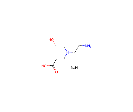 NCCN(CCO)CCC(=O)O.[NaH]